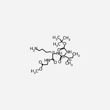 CC[C@@H](C)[C@H](NC(=O)OC(C)(C)C)C(=O)N[C@@H](CCCCN)C(=O)NCC(=O)OC